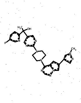 Cn1cc(-c2cc3c(N4CCN(c5ncc(C(C)(O)c6ccc(F)cn6)cn5)CC4)ncnn3c2)cn1